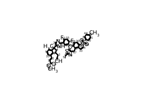 C#CCCCC(C)(c1cccc(/C=C/C(=O)OC)c1)c1cnc(-c2cc(Oc3c(F)cc4c(ccn4S(=O)(=O)c4ccc(C)cc4)c3Cc3csc(I)n3)ccc2F)[nH]1